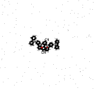 N#Cc1ccc(-c2c(-n3c4ccccc4c4cc(-n5c6ccccc6c6ccccc65)ccc43)cc(C#N)cc2-n2c3ccccc3c3cc(-n4c5ccccc5c5ccccc54)ccc32)c(F)c1